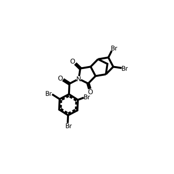 O=C(c1c(Br)cc(Br)cc1Br)N1C(=O)C2C3CC(C(Br)C3Br)C2C1=O